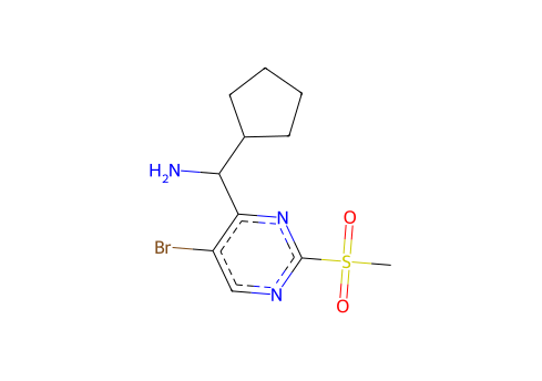 CS(=O)(=O)c1ncc(Br)c(C(N)C2CCCC2)n1